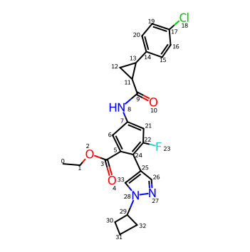 CCOC(=O)c1cc(NC(=O)C2CC2c2ccc(Cl)cc2)cc(F)c1-c1cnn(C2CCC2)c1